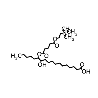 CCCCCC(OC(=O)CCCC(=O)OCC[N+](C)(C)C)C(O)CCCCCCCCCCC(=O)O